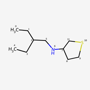 CCC(CC)CNC1CCSC1